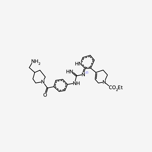 CCOC(=O)N1CC=C(c2ccc[nH]/c2=N\C(=N)Nc2ccc(C(=O)N3CCC(CN)CC3)cc2)CC1